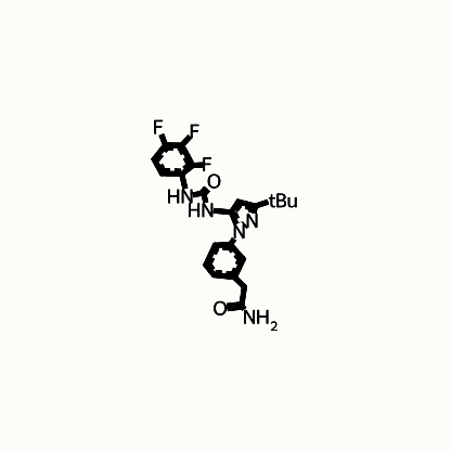 CC(C)(C)c1cc(NC(=O)Nc2ccc(F)c(F)c2F)n(-c2cccc(CC(N)=O)c2)n1